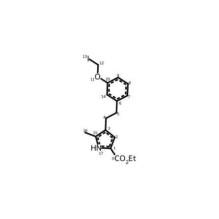 CCOC(=O)c1cc(CCc2cccc(OCI)c2)c(C)[nH]1